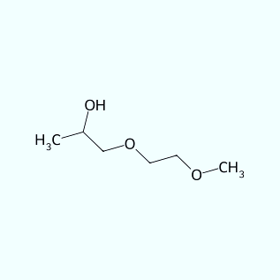 COCCOCC(C)O